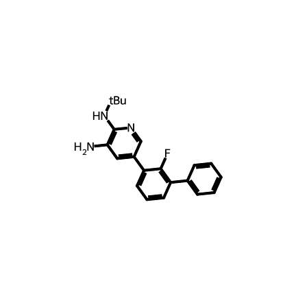 CC(C)(C)Nc1ncc(-c2cccc(-c3ccccc3)c2F)cc1N